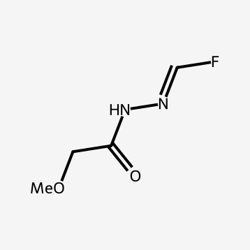 COCC(=O)NN=CF